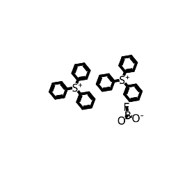 [O-]B([O-])F.c1ccc([S+](c2ccccc2)c2ccccc2)cc1.c1ccc([S+](c2ccccc2)c2ccccc2)cc1